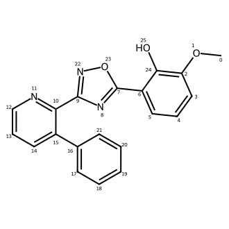 COc1cccc(-c2nc(-c3ncccc3-c3ccccc3)no2)c1O